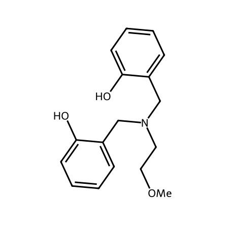 COCCN(Cc1ccccc1O)Cc1ccccc1O